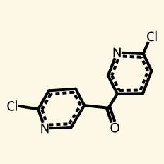 O=C(c1ccc(Cl)nc1)c1ccc(Cl)nc1